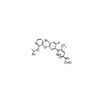 CC(=O)C(C)Oc1ncccc1Oc1cc(N(N)/C(=C\C(=O)NC=O)C(F)(F)F)c(F)cc1Br